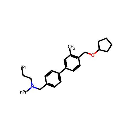 CCCN(CCC(C)C)Cc1ccc(-c2ccc(COC3CCCC3)c(C(F)(F)F)c2)cc1